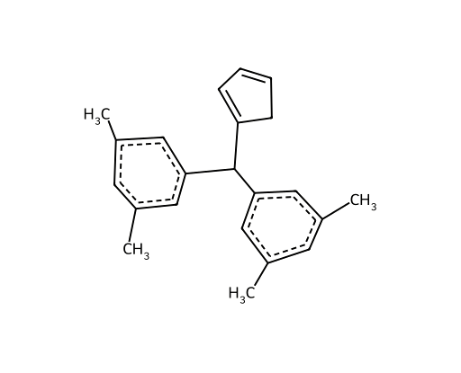 Cc1cc(C)cc(C(C2=CC=CC2)c2cc(C)cc(C)c2)c1